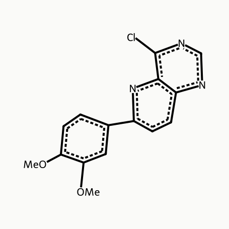 COc1ccc(-c2ccc3ncnc(Cl)c3n2)cc1OC